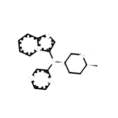 C[C@H]1CC[C@@H](N(c2cnccn2)c2cnc3ccccn23)CN1